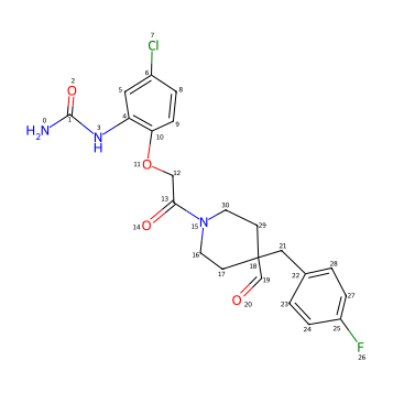 NC(=O)Nc1cc(Cl)ccc1OCC(=O)N1CCC(C=O)(Cc2ccc(F)cc2)CC1